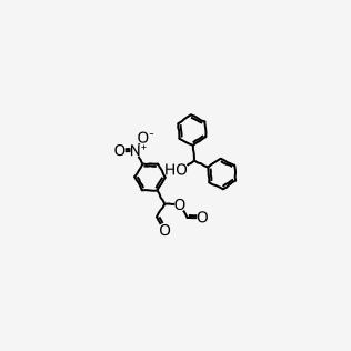 O=COC(C=O)c1ccc([N+](=O)[O-])cc1.OC(c1ccccc1)c1ccccc1